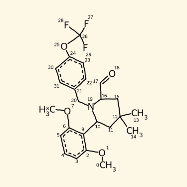 COc1cccc(OC)c1C1CC(C)(C)CC(C=O)N1Cc1ccc(OC(F)(F)F)cc1